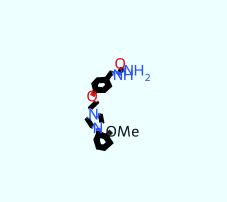 COc1ccccc1N1CCN(CCOc2ccc(CNC(N)=O)cc2)CC1